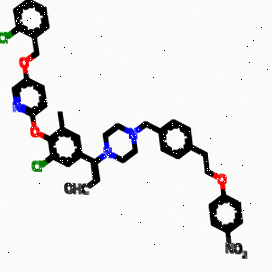 Cc1cc(/C(=C\C=O)N2CCN(Cc3ccc(CCOc4ccc([N+](=O)[O-])cc4)cc3)CC2)cc(Cl)c1Oc1ccc(OCc2ccccc2Cl)cn1